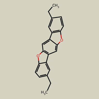 CCc1ccc2oc3cc4c(cc3c2c1)oc1ccc(CC)cc14